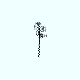 CCCCCCCCCCCCCCCCC(C(=O)OC(=O)[C@H](O)[C@@H](O)[C@H](O)[C@H](O)CO)S(=O)(=O)O